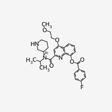 COCCOc1cc(C(=O)N(C(C)C)[C@@H]2CCCNC2)nc2c(OC(=O)c3ccc(F)cc3)cccc12